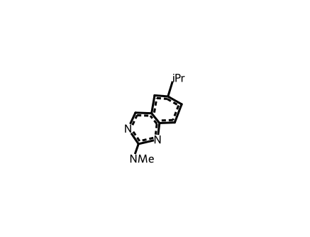 CNc1ncc2cc(C(C)C)ccc2n1